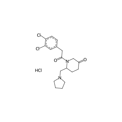 Cl.O=C1CCC(CN2CCCC2)N(C(=O)Cc2ccc(Cl)c(Cl)c2)C1